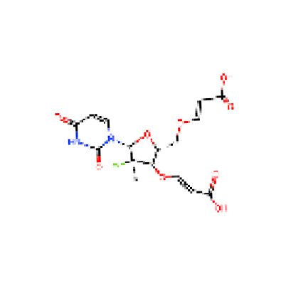 C[C@@]1(F)[C@H](O/C=C/C(=O)O)[C@@H](CO/C=C/C(=O)O)O[C@H]1n1ccc(=O)[nH]c1=O